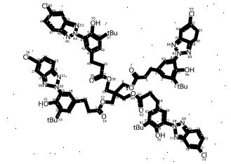 CC(C)(C)c1cc(CCC(=O)OCC(COC(=O)CCc2cc(-n3nc4ccc(Cl)cc4n3)c(O)c(C(C)(C)C)c2)(COC(=O)CCc2cc(-n3nc4ccc(Cl)cc4n3)c(O)c(C(C)(C)C)c2)COC(=O)CCc2cc(-n3nc4ccc(Cl)cc4n3)c(O)c(C(C)(C)C)c2)cc(-n2nc3c(n2)CCC(Cl)=C3)c1O